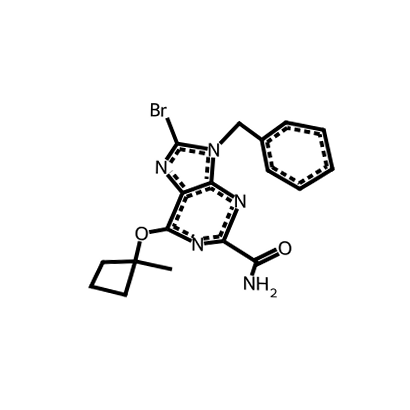 CC1(Oc2nc(C(N)=O)nc3c2nc(Br)n3Cc2ccccc2)CCC1